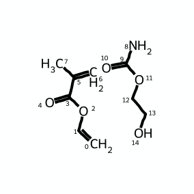 C=COC(=O)C(=C)C.NC(=O)OCCO